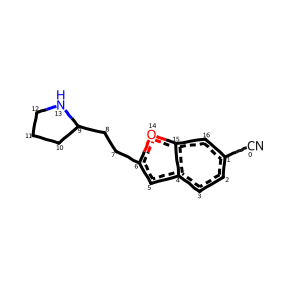 N#Cc1ccc2cc(CCC3CCCN3)oc2c1